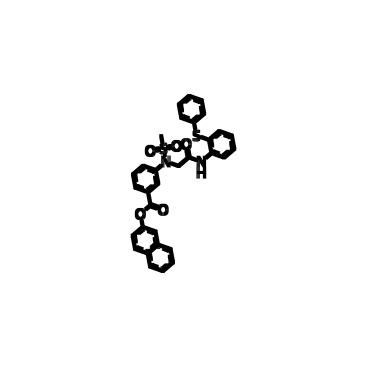 CS(=O)(=O)N(CC(=O)Nc1ccccc1Sc1ccccc1)c1cccc(C(=O)Oc2ccc3ccccc3c2)c1